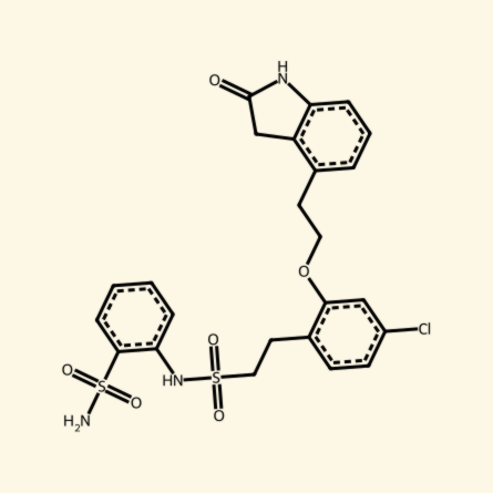 NS(=O)(=O)c1ccccc1NS(=O)(=O)CCc1ccc(Cl)cc1OCCc1cccc2c1CC(=O)N2